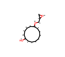 OC1CCCCCCCC(OCC2CO2)CCCC1